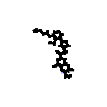 CO/C(=C\c1c(Cl)cc(C(=O)Nc2nc(-c3cccc(COCCC(C)(C)C)c3OC)cs2)cc1Cl)C(=O)O